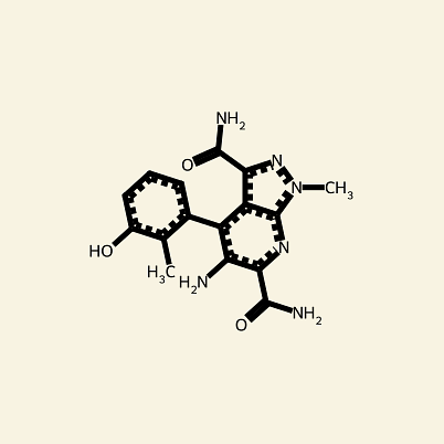 Cc1c(O)cccc1-c1c(N)c(C(N)=O)nc2c1c(C(N)=O)nn2C